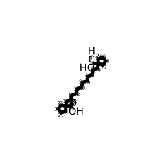 C=C(O)C1(CCCCCCCCCCCCC2(C(=O)O)CCCC2)CCCC1